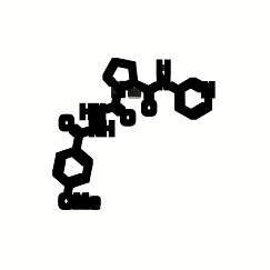 COc1ccc(C(=O)NNC(=O)N2CCC[C@H]2C(=O)Nc2cccnc2)cc1